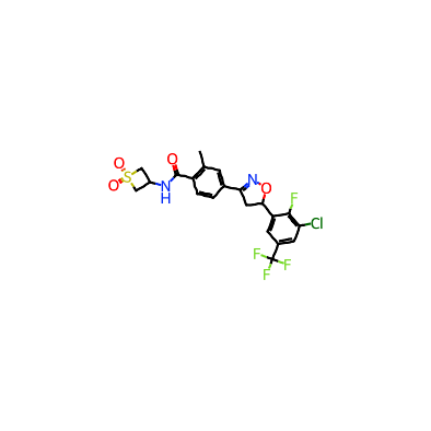 Cc1cc(C2=NOC(c3cc(C(F)(F)F)cc(Cl)c3F)C2)ccc1C(=O)NC1CS(=O)(=O)C1